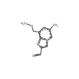 COCc1cc(C)cn2cc(C=O)nc12